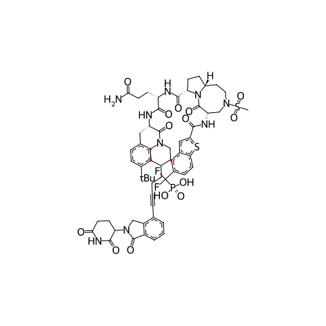 CC(C)(C)c1ccc(C[C@H](NC(=O)[C@H](CCC(N)=O)NC(=O)[C@@H]2CC[C@@H]3CCN(S(C)(=O)=O)C[C@H](NC(=O)c4cc5cc(C(F)(F)P(=O)(O)O)ccc5s4)C(=O)N32)C(=O)N2CCC(CCC#Cc3cccc4c3CN(C3CCC(=O)NC3=O)C4=O)CC2)cc1